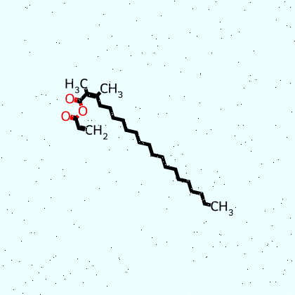 C=CC(=O)OC(=O)C(C)=C(C)CCCCCCCCCCCCCCCCCC